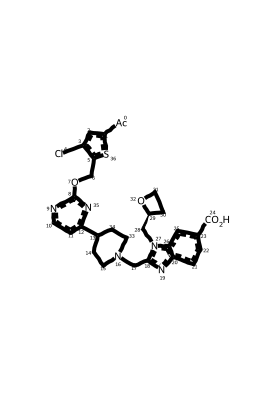 CC(=O)c1cc(Cl)c(COc2nccc(C3CCN(Cc4nc5ccc(C(=O)O)cc5n4C[C@@H]4CCO4)CC3)n2)s1